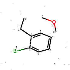 CCc1ccccc1Br.COC